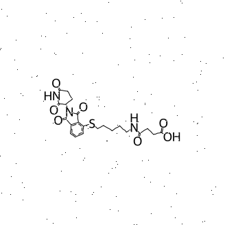 O=C(O)CCC(=O)NCCCCCSc1cccc2c1C(=O)N(C1CCC(=O)NC1=O)C2=O